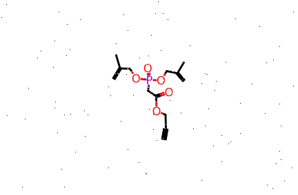 C#CCOC(=O)CP(=O)(OCC(=C)C)OCC(=C)C